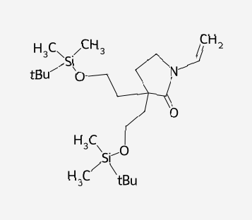 C=CN1CCC(CCO[Si](C)(C)C(C)(C)C)(CCO[Si](C)(C)C(C)(C)C)C1=O